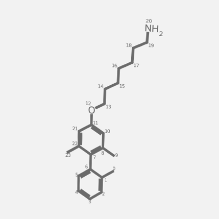 Cc1ccccc1-c1c(C)cc(OCCCCCCCN)cc1C